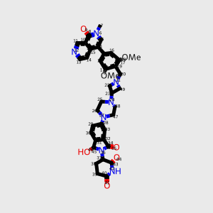 COc1cc(-c2cn(C)c(=O)c3cnccc23)cc(OC)c1CN1CC(N2CCN(c3ccc4c(c3)C(=O)N(C3CCC(=O)NC3=O)C4O)CC2)C1